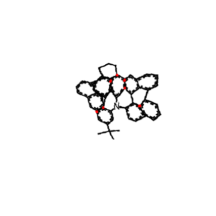 CC(C)(C)c1ccc(-c2ccccc2)c(N(c2ccccc2-c2cccc3cccc(-c4ccccc4)c23)c2ccccc2-c2cccc3cccc(C4CCCCC4)c23)c1